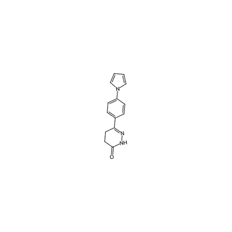 O=C1CCC(c2ccc(-n3cccc3)cc2)=NN1